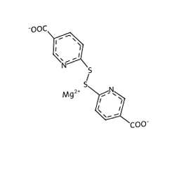 O=C([O-])c1ccc(SSc2ccc(C(=O)[O-])cn2)nc1.[Mg+2]